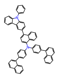 c1ccc(-n2c3ccccc3c3cc(-c4ccc(N(c5ccc(-c6cccc7ccccc67)cc5)c5ccc(-c6cccc7ccccc67)cc5)c5ccccc45)ccc32)cc1